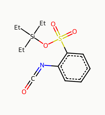 CC[Si](CC)(CC)OS(=O)(=O)c1ccccc1N=C=O